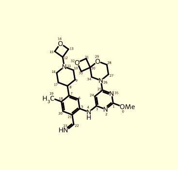 COc1nc(Nc2cc(C3CCN(C4COC4)CC3)c(C)cc2C=N)cc(N2CCOC3(COC3)C2)n1